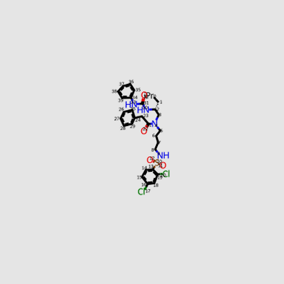 CC(C)C[C@H](CN(CCCCNS(=O)(=O)c1ccc(Cl)cc1Cl)C(=O)Cc1ccccc1)NC(=O)Nc1ccccc1